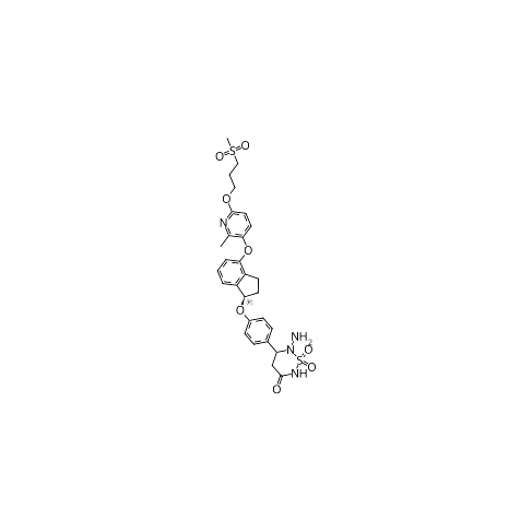 Cc1nc(OCCCS(C)(=O)=O)ccc1Oc1cccc2c1CC[C@H]2Oc1ccc(C2CC(=O)NS(=O)(=O)N2N)cc1